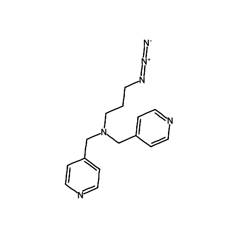 [N-]=[N+]=NCCCN(Cc1ccncc1)Cc1ccncc1